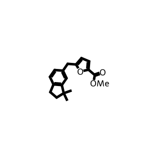 COC(=O)c1ccc(Cc2ccc3c(c2)C(C)(C)CC3)o1